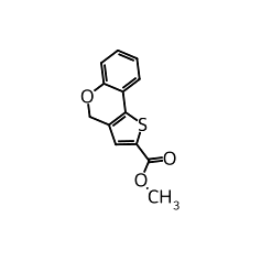 COC(=O)c1cc2c(s1)-c1ccccc1OC2